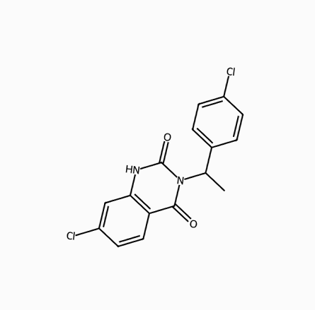 CC(c1ccc(Cl)cc1)n1c(=O)[nH]c2cc(Cl)ccc2c1=O